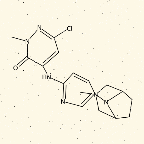 CN1CC2CCC(C1)N2c1ccc(Nc2cc(Cl)nn(C)c2=O)nc1